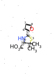 CC1(C)S[C@@H](c2ccco2)N[C@H]1C(=O)O